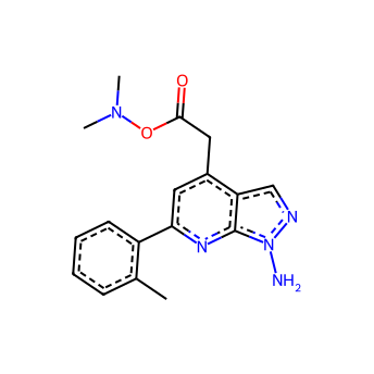 Cc1ccccc1-c1cc(CC(=O)ON(C)C)c2cnn(N)c2n1